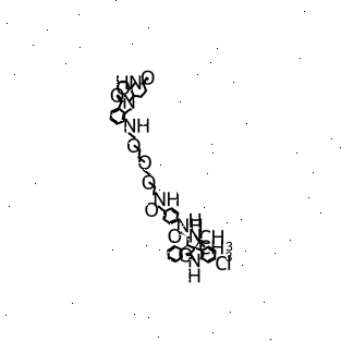 CC1(C)N[C@@H](C(=O)Nc2ccc(C(=O)NCCOCCOCCOCCNc3cccc4c3CN(C3CCC(=O)NC3=O)C4=O)cc2)[C@H](c2ccccc2)[C@]12C(=O)Nc1cc(Cl)ccc12